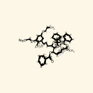 C=CCOc1cc(/C=C/CC2OC(C)(C)OC2C(/C=C\[C@@H](C)[C@H](C)O[Si](c2ccccc2)(c2ccccc2)C(C)(C)C)OC(=O)c2ccccc2)c(C(=O)OCC)c(OCOC)c1